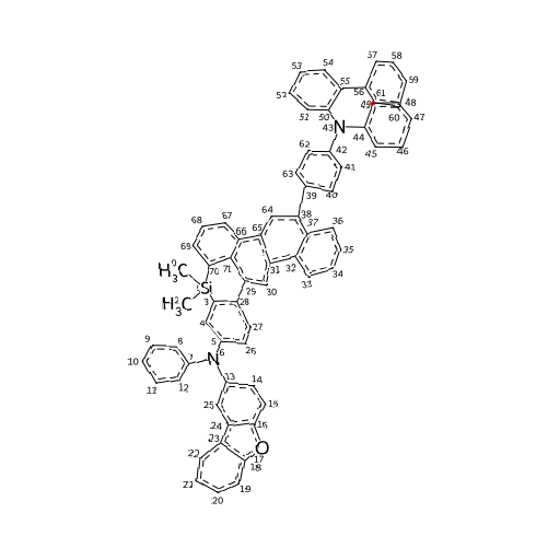 C[Si]1(C)c2cc(N(c3ccccc3)c3ccc4oc5ccccc5c4c3)ccc2-c2cc3c4ccccc4c(-c4ccc(N(c5ccccc5)c5ccccc5-c5ccccc5)cc4)cc3c3cccc1c23